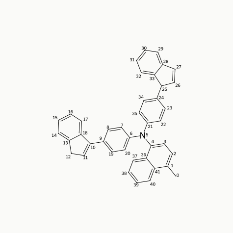 Cc1ccc(N(c2ccc(C3=CCc4ccccc43)cc2)c2ccc(C3C=Cc4ccccc43)cc2)c2ccccc12